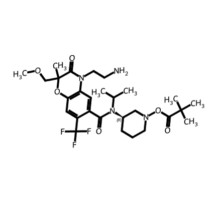 COCC1(C)Oc2cc(C(F)(F)F)c(C(=O)N(C(C)C)[C@@H]3CCCN(OC(=O)C(C)(C)C)C3)cc2N(CCN)C1=O